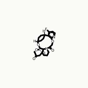 O=C1COC[C@]2(CCCN3C(=O)COc4nccc(F)c4[C@H]4CC[C@H](CC4)OC[C@@H]32)C1